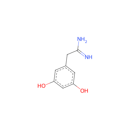 N=C(N)Cc1cc(O)cc(O)c1